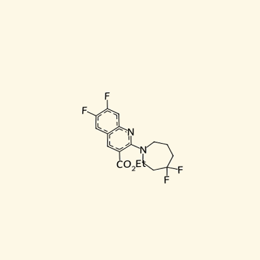 CCOC(=O)c1cc2cc(F)c(F)cc2nc1N1CCCC(F)(F)CC1